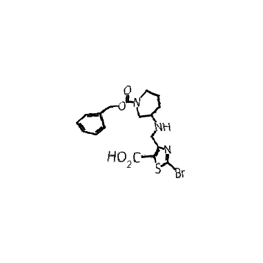 O=C(O)c1sc(Br)nc1CNC1CCCN(C(=O)OCc2ccccc2)C1